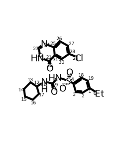 CCc1ccc(S(=O)(=O)NC(=O)NC2CCCCC2)cc1.O=c1[nH]cnc2ccc(Cl)cc12